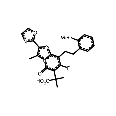 COc1ccccc1CCc1c(F)c(C(C)(C)C(=O)O)c(=O)n2c(C)c(-c3ncco3)sc12